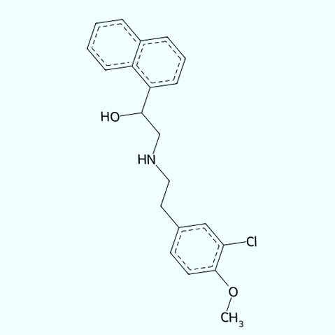 COc1ccc(CCNCC(O)c2cccc3ccccc23)cc1Cl